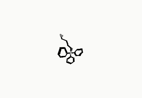 BrCCCC[PH](c1ccccc1)(c1ccccc1)c1ccccc1